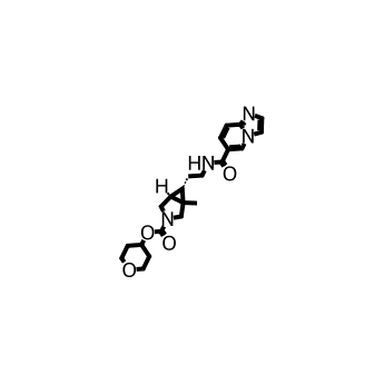 CC12CN(C(=O)OC3CCOCC3)C[C@H]1[C@@H]2CCNC(=O)c1ccc2nccn2c1